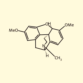 COC1=CC=C2[C@H]3Cc4cc(OC)cc5c4[C@@]2(CCN3C)[C@H]1O5